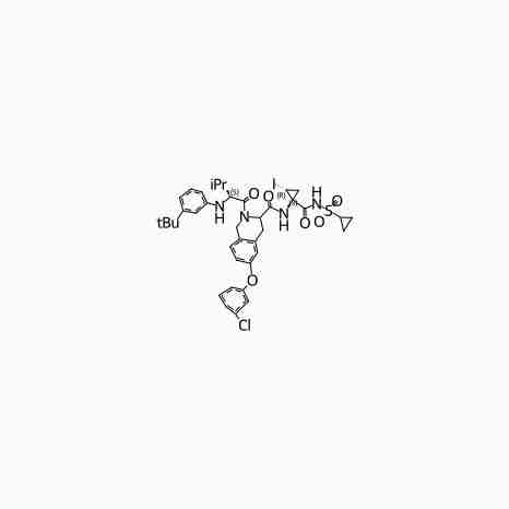 CC(C)[C@H](Nc1cccc(C(C)(C)C)c1)C(=O)N1Cc2ccc(Oc3cccc(Cl)c3)cc2CC1C(=O)N[C@]1(C(=O)NS(=O)(=O)C2CC2)C[C@H]1I